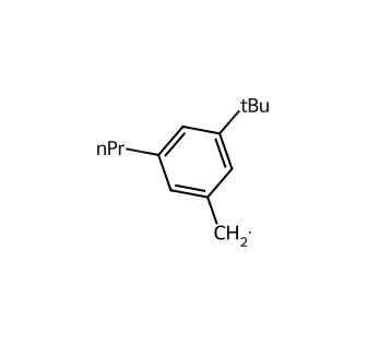 [CH2]c1cc(CCC)cc(C(C)(C)C)c1